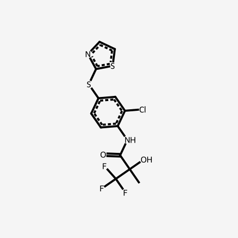 CC(O)(C(=O)Nc1ccc(Sc2nccs2)cc1Cl)C(F)(F)F